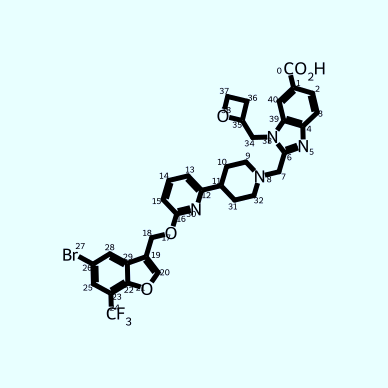 O=C(O)c1ccc2nc(CN3CCC(c4cccc(OCc5coc6c(C(F)(F)F)cc(Br)cc56)n4)CC3)n(CC3CCO3)c2c1